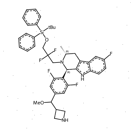 COC(c1cc(F)c([C@@H]2c3[nH]c4ccc(F)cc4c3C[C@@H](C)N2CC(F)(F)CO[Si](c2ccccc2)(c2ccccc2)C(C)(C)C)c(F)c1)C1CNC1